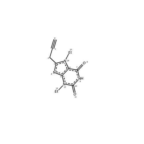 C#CCc1nc2c(c(=O)[nH]c(=O)n2CC)n1CC